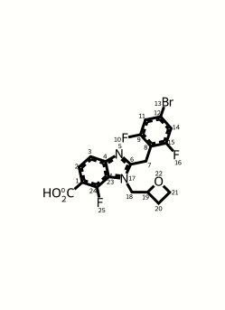 O=C(O)c1ccc2nc(Cc3c(F)cc(Br)cc3F)n(CC3CCO3)c2c1F